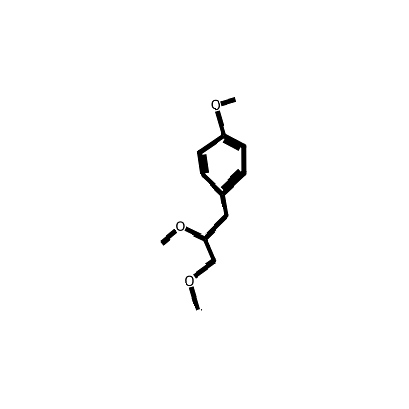 [CH2]OCC(Cc1ccc(OC)cc1)OC